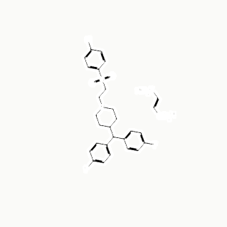 O=C(O)C=CC(=O)O.O=S(=O)(CCN1CCC(C(c2ccc(F)cc2)c2ccc(F)cc2)CC1)c1ccc(Cl)cc1